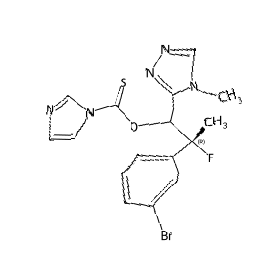 Cn1cnnc1C(OC(=S)n1ccnc1)[C@](C)(F)c1cccc(Br)c1